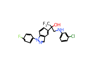 OC(CNc1cccc(Cl)c1)(c1ccc2c(cnn2-c2ccc(F)cc2)c1)C(F)(F)F